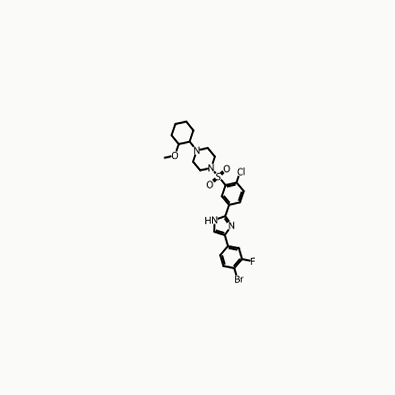 COC1CCCCC1N1CCN(S(=O)(=O)c2cc(-c3nc(-c4ccc(Br)c(F)c4)c[nH]3)ccc2Cl)CC1